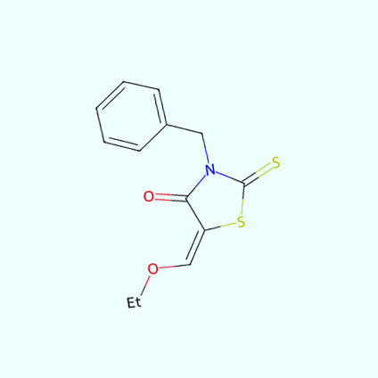 CCOC=C1SC(=S)N(Cc2ccccc2)C1=O